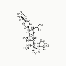 C=CC(=O)Nc1cc(NC(=N)/C=C(\NN)N2OCC[C@@H]2c2cccc(Cl)c2C)c(OC)cc1N1CCC(N2CC3CCC(C2)N3C2CC2)CC1